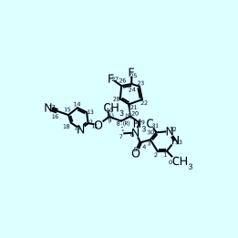 Cc1cc(C(=O)N2C[C@H]([C@H](C)Oc3ccc(C#N)cn3)[C@@H](c3ccc(F)c(F)c3)C2)c(C)nn1